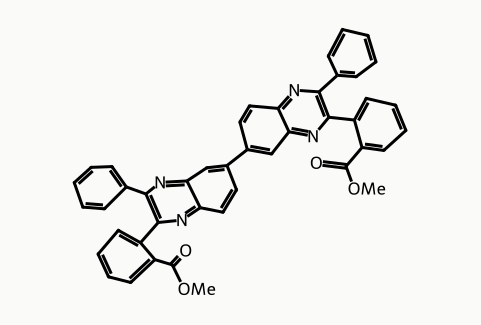 COC(=O)c1ccccc1-c1nc2ccc(-c3ccc4nc(-c5ccccc5)c(-c5ccccc5C(=O)OC)nc4c3)cc2nc1-c1ccccc1